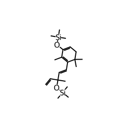 C=CC(C)(C=CC1=C(C)C(O[Si](C)(C)C)=CCC1(C)C)O[Si](C)(C)C